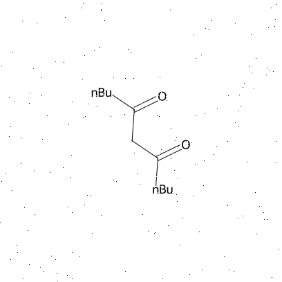 CCCCC(=O)CC(=O)CCCC